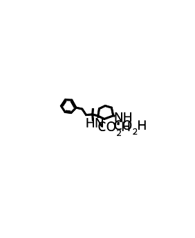 CC(C)(CCc1ccccc1)C1(NC(=O)O)CCCC(NC(=O)O)C1